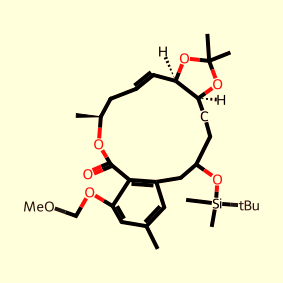 COCOc1cc(C)cc2c1C(=O)O[C@@H](C)C/C=C/[C@H]1OC(C)(C)O[C@H]1CCC(O[Si](C)(C)C(C)(C)C)C2